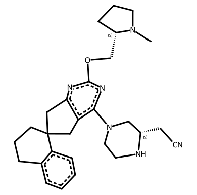 CN1CCC[C@H]1COc1nc2c(c(N3CCN[C@@H](CC#N)C3)n1)CC1(CCCc3ccccc31)C2